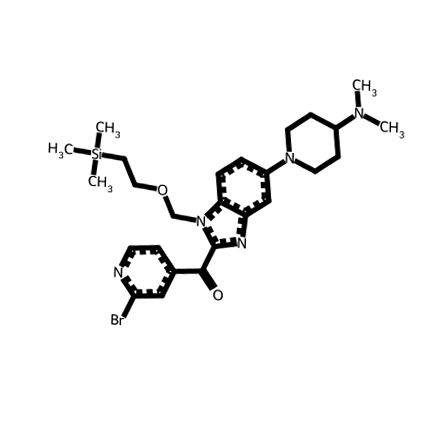 CN(C)C1CCN(c2ccc3c(c2)nc(C(=O)c2ccnc(Br)c2)n3COCC[Si](C)(C)C)CC1